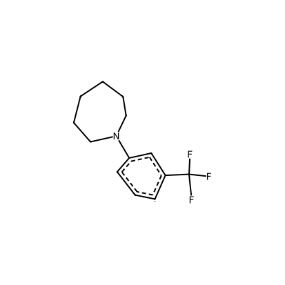 FC(F)(F)c1[c]ccc(N2CCCCCC2)c1